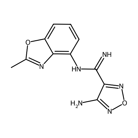 Cc1nc2c(NC(=N)c3nonc3N)cccc2o1